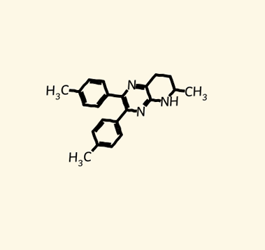 Cc1ccc(-c2nc3c(nc2-c2ccc(C)cc2)NC(C)CC3)cc1